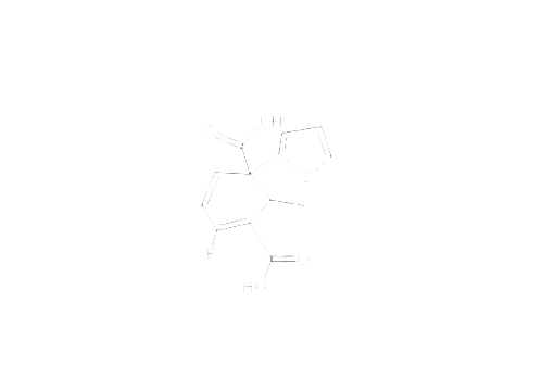 CC1C(C(=O)O)=C(F)C=CC1(C(=O)O)c1cccs1